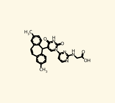 Cc1ccc2c(c1)C=Cc1cc(C)ccc1C2c1cn(-c2ccnc(NCC(=O)O)n2)c(=O)[nH]c1=O